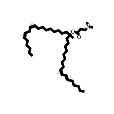 CCCCC/C=C\C/C=C\CCCCCCCCC(C)(CCCCCCCC/C=C\C=C\CCCCC)OC(=O)CCN(C)C